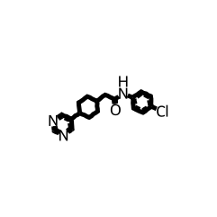 O=C(CC1CCC(c2cncnc2)CC1)Nc1ccc(Cl)cc1